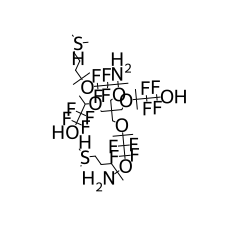 CC(OCC(COC(C)(C)C(F)(F)C(O)(F)F)(COC(C)(C)C(F)(F)C(F)(F)OC(C)(N)CCC[SH](C)C)COC(C)(N)C(F)(F)C(F)(F)OC(C)(C)CCC[SH](C)C)C(F)(F)C(O)(F)F